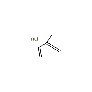 C=CC(=C)C.Cl